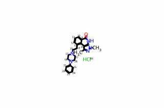 Cc1nn(C)c2[nH]c(=O)c3cccc(CCN4CCN(c5ccccc5)CC4)c3c12.Cl